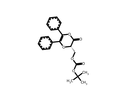 CC(C)(C)OC(=O)OC[C@@H]1OC(c2ccccc2)=C(c2ccccc2)OC1=O